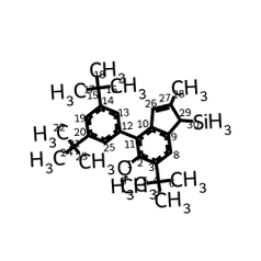 COc1c(C(C)(C)C)cc2c(c1-c1cc(C(C)(C)C)cc(C(C)(C)C)c1)C=C(C)C2[SiH3]